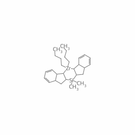 CCC[CH2][Zr]1([CH2]CCC)[CH]2C3C=CC=CC3CC2[Si](C)(C)C2CC3C=CC=CC3[CH]21